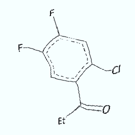 CCC(=O)c1cc(F)c(F)cc1Cl